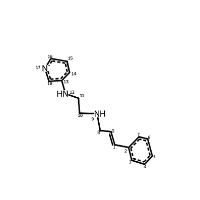 C(=C\c1ccccc1)/CNCCNc1cccnc1